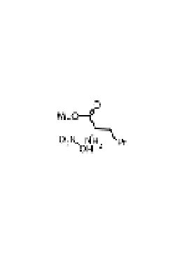 COC(=O)[C@@H](N)CC(C)C.O=[N+]([O-])O